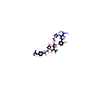 Cc1ncsc1-c1ccc([C@H](C)NC(=O)[C@@H]2C[C@@H](O)CN2C(=O)C(c2cc(OCCN3CCC(Nc4cc(-c5ccccc5O)nnc4C(=N)N)C3)no2)C(C)C)cc1